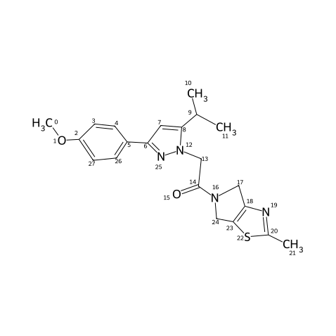 COc1ccc(-c2cc(C(C)C)n(CC(=O)N3Cc4nc(C)sc4C3)n2)cc1